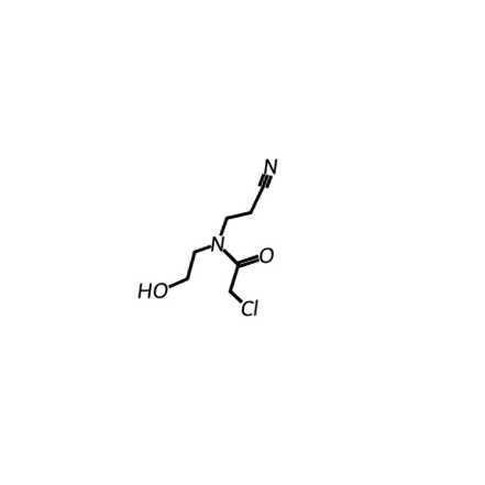 N#CCCN(CCO)C(=O)CCl